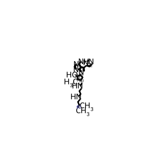 C/C=C(\C)CCNCCCNC[C@H]1C[C@@H](n2cc(-c3ccncn3)c3c(N)ncnc32)[C@H](O)[C@@H]1C